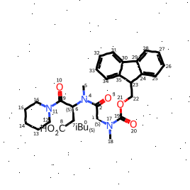 CC[C@H](C)[C@@H](C(=O)N(C)[C@@H](CC(=O)O)C(=O)N1CCCCC1)N(C)C(=O)OCC1c2ccccc2-c2ccccc21